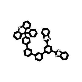 c1ccc(C2(c3ccc(-c4cccc(-c5cccc(-c6cc(-c7nc8ccccc8s7)cc(-c7nc8ccccc8s7)c6)c5)c4)cc3)c3ccccc3Oc3ccccc32)cc1